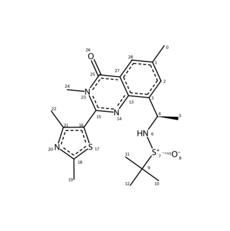 Cc1cc([C@@H](C)N[S@+]([O-])C(C)(C)C)c2nc(-c3sc(C)nc3C)n(C)c(=O)c2c1